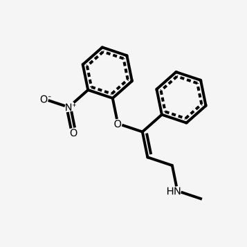 CNCC=C(Oc1ccccc1[N+](=O)[O-])c1ccccc1